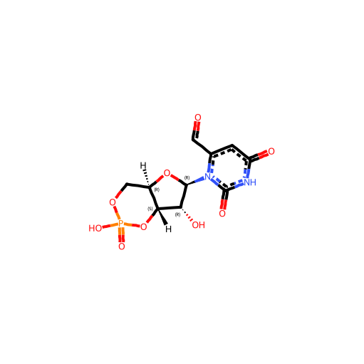 O=Cc1cc(=O)[nH]c(=O)n1[C@@H]1O[C@@H]2COP(=O)(O)O[C@H]2[C@H]1O